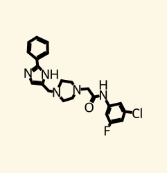 O=C(CN1CCN(Cc2cnc(-c3ccccc3)[nH]2)CC1)Nc1cc(F)cc(Cl)c1